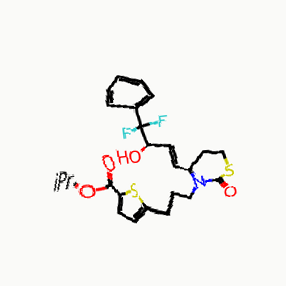 CC(C)OC(=O)c1ccc(CCCN2C(=O)SCC[C@@H]2/C=C/[C@@H](O)C(F)(F)c2ccccc2)s1